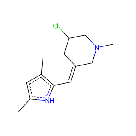 [CH2]N1CC(=Cc2[nH]c(C)cc2C)CC(Cl)C1